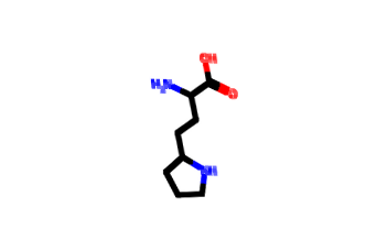 NC(CCC1CCCN1)C(=O)O